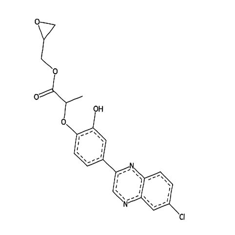 CC(Oc1ccc(-c2cnc3cc(Cl)ccc3n2)cc1O)C(=O)OCC1CO1